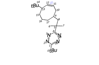 CC(C)(C)c1nnc(C(C)(C)CC2C/C=C\C(C(C)(C)C)CCC2)nn1